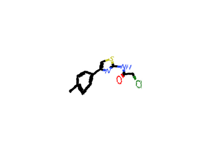 Cc1ccc(-c2csc(NC(=O)CCl)n2)cc1